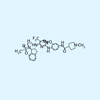 COc1cc(NC(=O)C2CCN(C)CC2)ccc1Nc1ncc(C(F)(F)F)c(N[C@@H]2Cc3ccccc3[C@H]2N(C)S(C)(=O)=O)n1